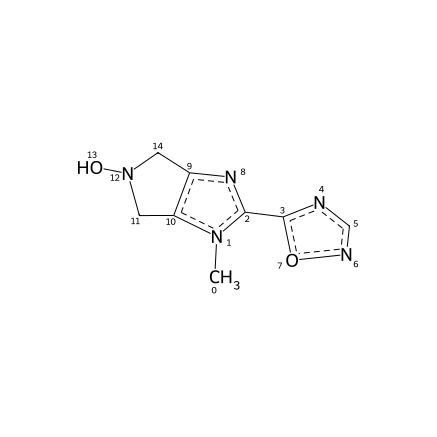 Cn1c(-c2ncno2)nc2c1CN(O)C2